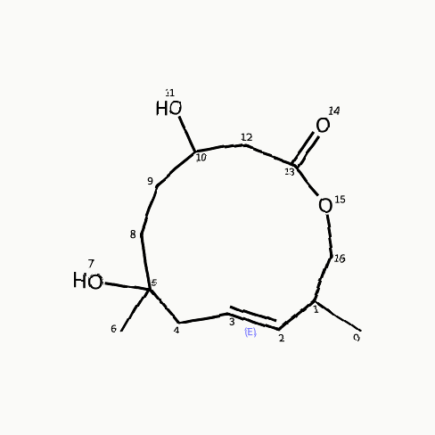 CC1/C=C/CC(C)(O)CCC(O)CC(=O)OC1